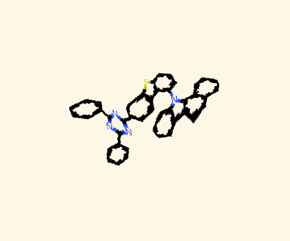 c1ccc(-c2nc(-c3ccccc3)nc(-c3ccc4c(c3)sc3cccc(-n5c6ccccc6c6ccc7ccccc7c65)c34)n2)cc1